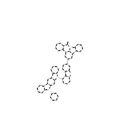 O=c1c2ccccc2c2cc(-c3ccc4c(c3)oc3cccc(-n5c6ccccc6c6cc7c8ccccc8n(-c8ccccc8)c7cc65)c34)cc3c4ccccc4n1c23